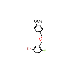 COc1ccc(COCc2cc(Br)ccc2F)cc1